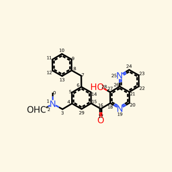 CN(C=O)Cc1cc(Cc2ccccc2)cc(C(=O)c2ncc3cccnc3c2O)c1